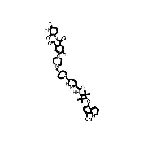 CC1(C)C(NC(=O)c2ccc(N3CCC(CN4CCN(c5cc6c(cc5F)C(=O)N(C5CCC(=O)NC5=O)C6=O)CC4)CC3)nn2)C(C)(C)C1Oc1ccc(C#N)c2ncccc12